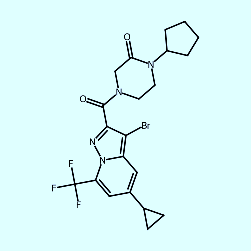 O=C(c1nn2c(C(F)(F)F)cc(C3CC3)cc2c1Br)N1CCN(C2CCCC2)C(=O)C1